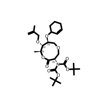 C=C(C)CO[C@H]1[C@H](C)OC(=O)[C@@H](N(C(=O)OC(C)(C)C)C(=O)OC(C)(C)C)COC[C@@H]1OC1C=CCCC1